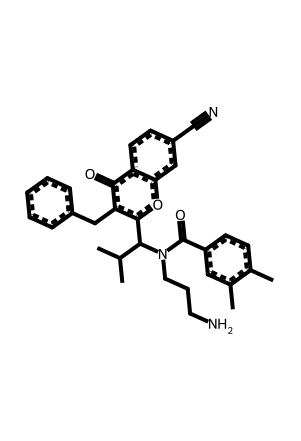 Cc1ccc(C(=O)N(CCCN)C(c2oc3cc(C#N)ccc3c(=O)c2Cc2ccccc2)C(C)C)cc1C